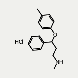 CNCCC(Oc1ccc(C)cc1)c1ccccc1.Cl